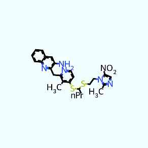 CCCC(SCCn1c([N+](=O)[O-])cnc1C)Sc1ccnc(Cc2nc3ccccc3cc2N)c1C